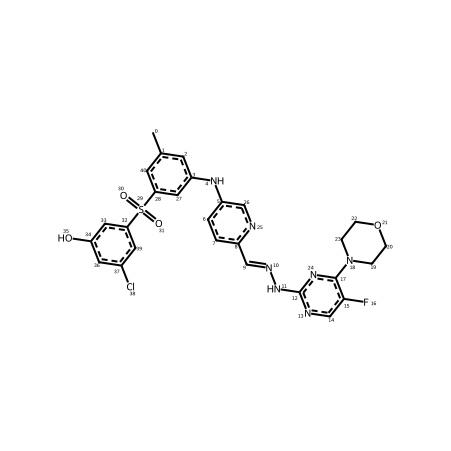 Cc1cc(Nc2ccc(/C=N/Nc3ncc(F)c(N4CCOCC4)n3)nc2)cc(S(=O)(=O)c2cc(O)cc(Cl)c2)c1